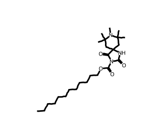 CCCCCCCCCCCCOC(=O)N1C(=O)NC2(CC(C)(C)N(C)C(C)(C)C2)C1=O